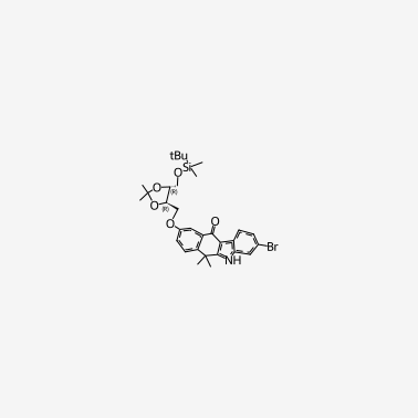 CC1(C)O[C@H](COc2ccc3c(c2)C(=O)c2c([nH]c4cc(Br)ccc24)C3(C)C)[C@@H](CO[Si](C)(C)C(C)(C)C)O1